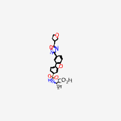 CC(C)[C@H](NS(=O)(=O)c1ccc2c(c1)oc1ccc(-c3noc(C4CCOC4)n3)cc12)C(=O)O